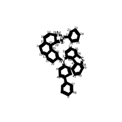 c1ccc(-c2ccc(N(c3ccc4ccc5ccc6nn(-c7ccccc7)nc6c5c4c3)c3cccc4sc5ccccc5c34)cc2)cc1